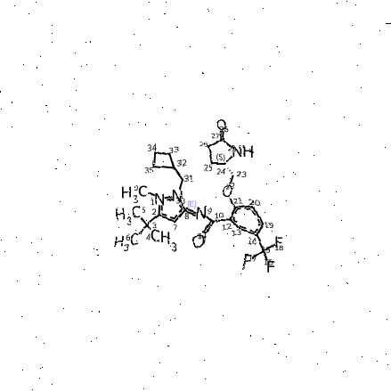 Cn1c(C(C)(C)C)c/c(=N\C(=O)c2cc(C(F)(F)F)ccc2OC[C@@H]2CCC(=O)N2)n1CC1CCC1